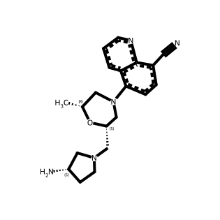 C[C@@H]1CN(c2ccc(C#N)c3ncccc23)C[C@H](CN2CC[C@H](N)C2)O1